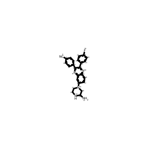 N#Cc1ccc(-c2nc3cc(N4CCNC(N)C4)ccc3nc2-c2ccc(F)cc2)cc1